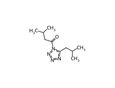 CC(C)CC(=O)n1nnnc1CC(C)C